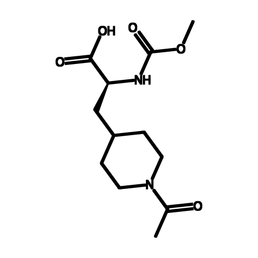 COC(=O)N[C@@H](CC1CCN(C(C)=O)CC1)C(=O)O